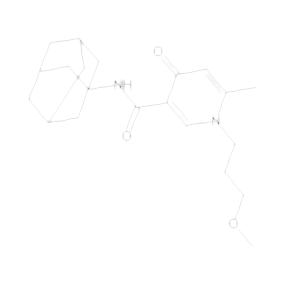 COCCCn1cc(C(=O)NC23CC4CC(CC(C4)C2)C3)c(=O)cc1C